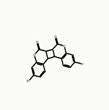 CCc1ccc2c(c1)OC(=O)C1C3C(=O)Oc4cc(CC)ccc4C3C21